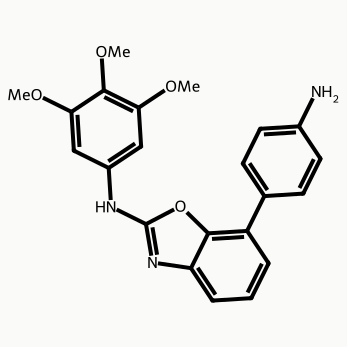 COc1cc(Nc2nc3cccc(-c4ccc(N)cc4)c3o2)cc(OC)c1OC